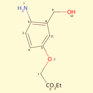 CCOC(=O)COc1ccc(N)c(CO)c1